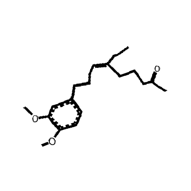 CCC(=CCCc1ccc(OC)c(OC)c1)CCCC(C)=O